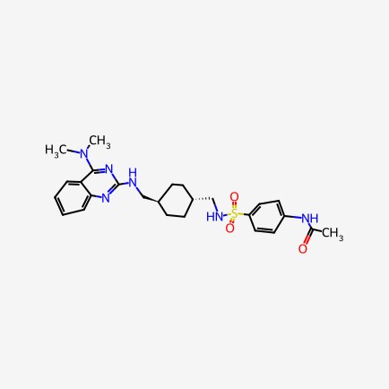 CC(=O)Nc1ccc(S(=O)(=O)NC[C@H]2CC[C@H](CNc3nc(N(C)C)c4ccccc4n3)CC2)cc1